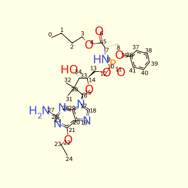 CCCCOC(=O)[C@H](C)NP(=O)(OC[C@H]1O[C@@H](n2cnc3c(OCC)nc(N)nc32)C(C)(C)[C@@H]1O)Oc1ccccc1